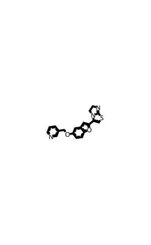 C1=C(c2cc3cc(OCc4cccnc4)ccc3o2)N2CCN=C2S1